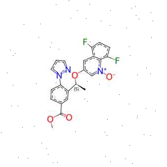 COC(=O)c1ccc(-n2cccn2)c([C@H](C)Oc2cc3c(F)ccc(F)c3[n+]([O-])c2)c1